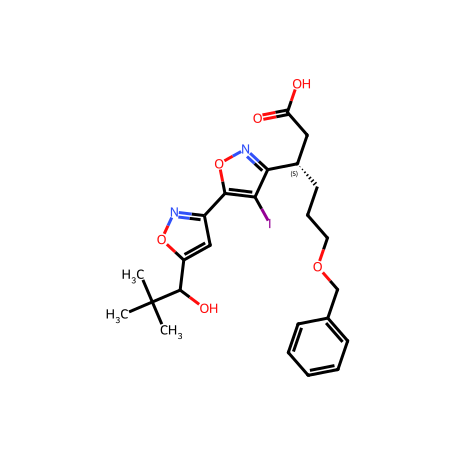 CC(C)(C)C(O)c1cc(-c2onc([C@@H](CCCOCc3ccccc3)CC(=O)O)c2I)no1